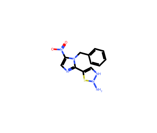 NN1NC=C(c2ncc([N+](=O)[O-])n2Cc2ccccc2)S1